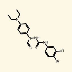 CCN(CC)c1ccc(N(C=O)NC(=S)Nc2ccc(Br)c(Cl)c2)cc1